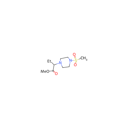 CCC(C(=O)OC)N1CCN(S(C)(=O)=O)CC1